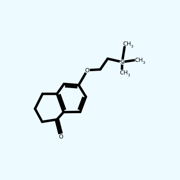 C[Si](C)(C)CCOc1ccc2c(c1)CCCC2=O